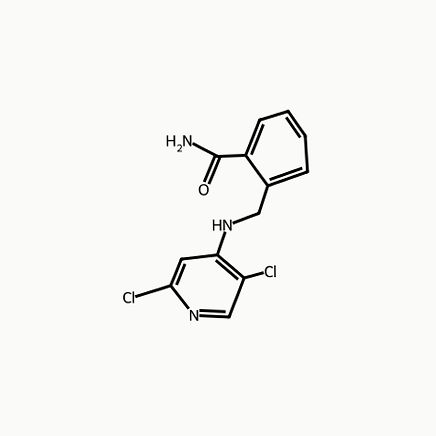 NC(=O)c1ccccc1CNc1cc(Cl)ncc1Cl